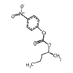 CCC[C@H](C)OC(=O)Oc1ccc([N+](=O)[O-])cc1